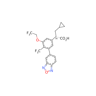 O=C(O)[C@@H](CC1CC1)c1cc(OCC(F)(F)F)c(C(F)(F)F)c(-c2ccc3nonc3c2)c1